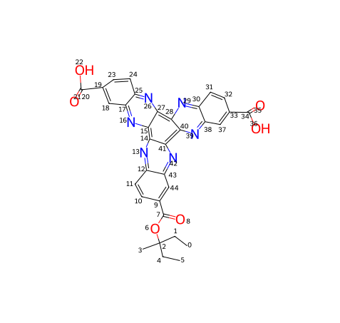 CCC(C)(CC)OC(=O)c1ccc2nc3c4nc5cc(C(=O)O)ccc5nc4c4nc5ccc(C(=O)O)cc5nc4c3nc2c1